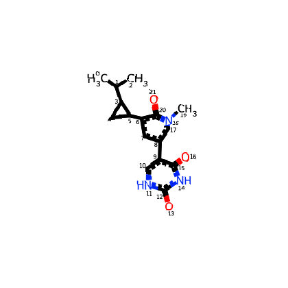 CC(C)C1CC1c1cc(-c2c[nH]c(=O)[nH]c2=O)cn(C)c1=O